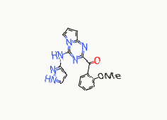 COc1ccccc1C(=O)c1nc(Nc2cc[nH]n2)n2cccc2n1